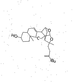 C=C(CCC1(C)OC2OC3CC1C21CCC2C(=CCC4CC(O)CCC42C)C31)C(C)CC